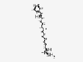 [SiH3]NNCCCCCCCCCCCCNCc1ccccc1